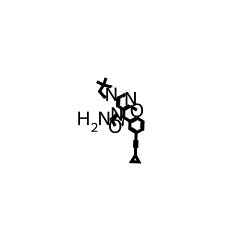 CC1(C)CCN(c2cnc3c(c2)[C@]2(COC(N)=N2)c2cc(C#CC4CC4)ccc2O3)C1